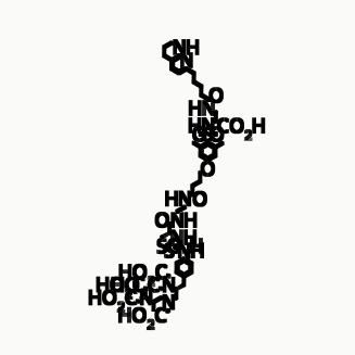 Cc1cc(OCCCC(=O)NCCNC(=O)[C@H](CS(=O)(=O)O)NC(=S)Nc2ccc(C[C@@H](CN(CC(=O)O)CC(C)N(CC(=O)O)CC(=O)O)N(CC(=O)O)CC(=O)O)cc2)cc(C)c1S(=O)(=O)N[C@@H](CNC(=O)CCCCc1ccc2c(n1)NCCC2)C(=O)O